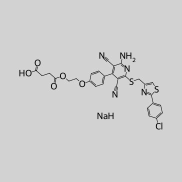 N#Cc1c(N)nc(SCc2csc(-c3ccc(Cl)cc3)n2)c(C#N)c1-c1ccc(OCCOC(=O)CCC(=O)O)cc1.[NaH]